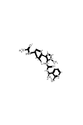 CC(=O)Nc1cnc(-c2nnn(C)c2NC(=O)O[C@H](C)c2cccnc2Cl)c(F)c1